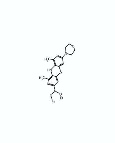 CCON(OCC)c1cc(C)c2c(c1)Sc1cc(N3CCOCC3)cc(C)c1N2